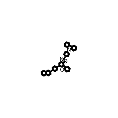 c1ccc2cc(-c3ccc(-c4cc5nc(-c6ccc(-n7c8ccccc8c8ccccc87)cc6)oc5c5c4oc4ccccc45)cc3)ccc2c1